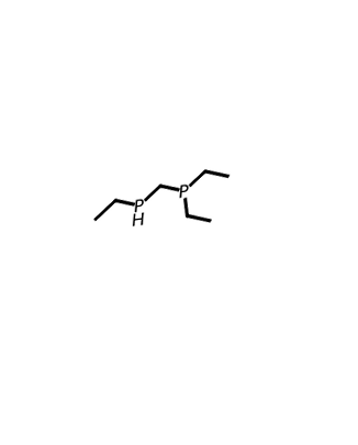 CCPCP(CC)CC